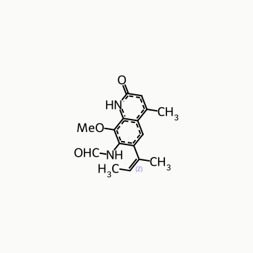 C/C=C(/C)c1cc2c(C)cc(=O)[nH]c2c(OC)c1NC=O